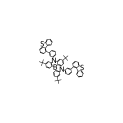 CC(C)(C)c1ccc2c(c1)N(c1cccc(-c3cccc4sc5ccccc5c34)c1)c1cc(C(C)(C)C)cc3c1B2c1ccc(C(C)(C)C)cc1N3c1cccc(-c2cccc3sc4ccccc4c23)c1